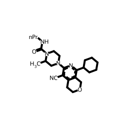 CCCNC(=O)N1CCN(c2nc(C3CCCCC3)c3c(c2C#N)CCOC3)CC1C